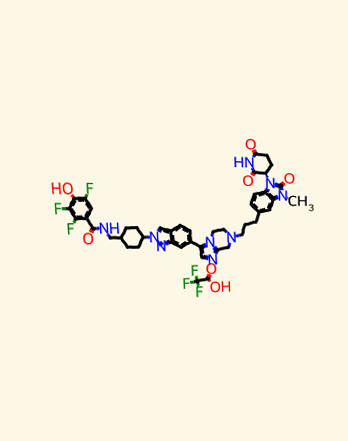 Cn1c(=O)n([C@@H]2CCC(=O)NC2=O)c2ccc(CCCN3CCn4c(-c5ccc6cn(C7CCC(CNC(=O)c8cc(F)c(O)c(F)c8F)CC7)nc6c5)cnc4C3)cc21.O=C(O)C(F)(F)F